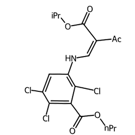 CCCOC(=O)c1c(Cl)c(Cl)cc(NC=C(C(C)=O)C(=O)OC(C)C)c1Cl